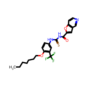 CCCCCCCOc1ccc(NC(=S)NC(=O)c2cc3cnccc3o2)cc1C(F)(F)F